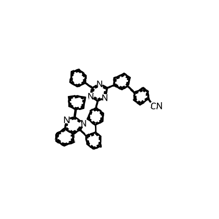 N#Cc1ccc(-c2cccc(-c3nc(-c4ccccc4)nc(-c4ccc(-c5ccccc5-c5nc(-c6ccccc6)nc6ccccc56)cc4)n3)c2)cc1